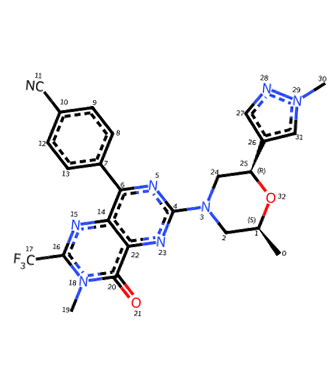 C[C@H]1CN(c2nc(-c3ccc(C#N)cc3)c3nc(C(F)(F)F)n(C)c(=O)c3n2)C[C@@H](c2cnn(C)c2)O1